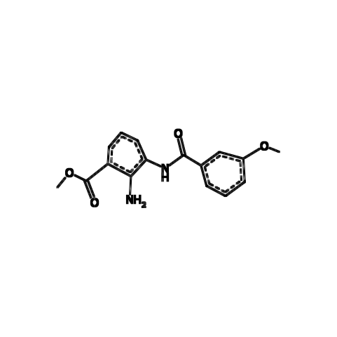 COC(=O)c1cccc(NC(=O)c2cccc(OC)c2)c1N